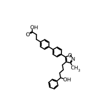 Cc1noc(-c2ccc(-c3ccc(CCC(=O)O)cc3)cc2)c1CCCC(O)c1ccccc1